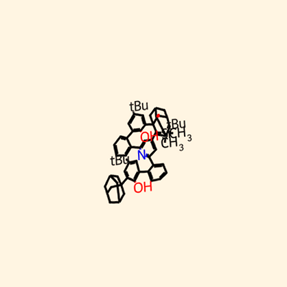 CC(C)(C)c1cc(-c2ccccc2-c2cc(C[Si](C)(C)C(C)(C)C)cc(-c3ccccc3-c3cc(C(C)(C)C)cc(C45CC6CC(CC(C6)C4)C5)c3O)n2)c(O)c(C23CC4CC(CC(C4)C2)C3)c1